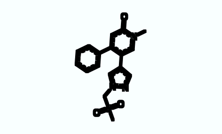 Cn1cc(-c2cnn(CS(C)(=O)=O)c2)c(-c2ccccc2)cc1=O